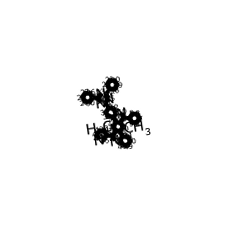 Cc1c2c(-c3ccccc3)nc3cc(-c4nc(-c5ccccc5)nc(-c5ccccc5)n4)ccc3c2c(C)c2c(-c3cccnc3)nc3ccccc3c12